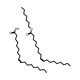 CCCCCCCC/C=C\CCCCCCCC(=O)O.CCCCCCCC/C=C\CCCCCCCC(=O)OCCCCCCC